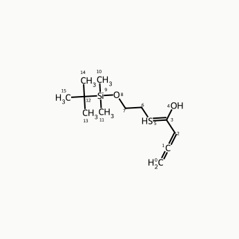 C=C=CC(O)=[SH]CCO[Si](C)(C)C(C)(C)C